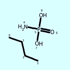 CCCC.NP(=O)(O)O